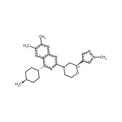 Cc1nc2nc(N3CCO[C@H](c4cnn(C)c4)C3)nc([C@H]3CC[C@H](C)CC3)c2nc1C